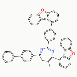 CC1=C(c2cccc3oc4ccccc4c23)N=C(c2ccc(-c3cccc4oc5ccccc5c34)cc2)N=C(c2ccc(-c3ccccc3)cc2)C1